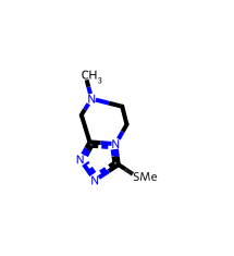 CSc1nnc2n1CCN(C)C2